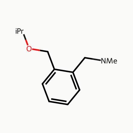 CNCc1ccccc1COC(C)C